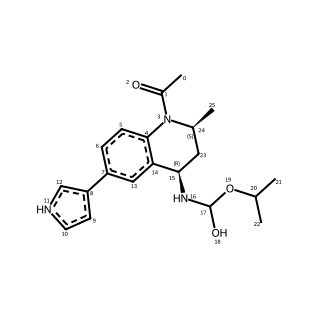 CC(=O)N1c2ccc(-c3cc[nH]c3)cc2[C@H](NC(O)OC(C)C)C[C@@H]1C